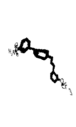 NS(=O)(=O)c1cccc(-c2ccc(CCCc3cccc(OC(F)(F)F)c3)cc2)c1